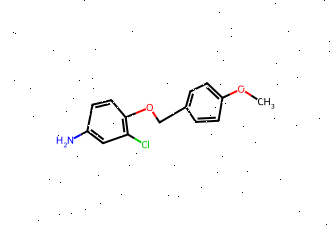 COc1ccc(COc2ccc(N)cc2Cl)cc1